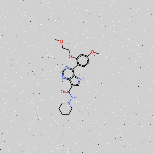 COCCOc1cc(OC)ccc1-c1ncnc2c(C(=O)NN3CCCCC3)c[nH]c12